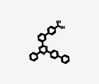 OB(O)c1ccc(-c2cccc(-c3nc(-c4ccccc4)nc(-c4ccc(-c5ccccc5)cc4)n3)c2)cc1